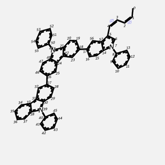 C/C=C\C=C/c1cn(-c2ccccc2)c2ccc(-c3ccc4c(c3)c3cc(-c5ccc6c(c5)c5ccccc5n6-c5ccccc5)ccc3n4-c3ccccc3)cc12